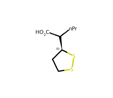 CCCC(C(=O)O)[C@@H]1CCSS1